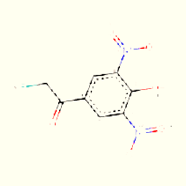 O=C(CF)c1cc([N+](=O)[O-])c(O)c([N+](=O)[O-])c1